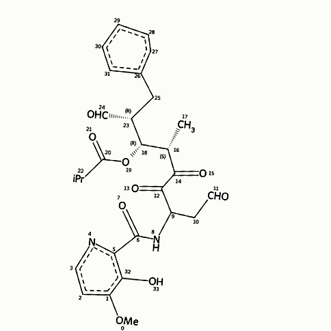 COc1ccnc(C(=O)NC(CC=O)C(=O)C(=O)[C@@H](C)[C@H](OC(=O)C(C)C)[C@H](C=O)Cc2ccccc2)c1O